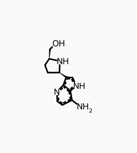 Nc1ccnc2c([C@H]3CC[C@@H](CO)N3)c[nH]c12